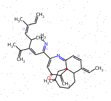 C=C/C(C)=C\C(C)/C(=C\C(=N/C)C1=CC(=O)C(=C)CC(/C=C\C(=C/C)C2CCCC(=C)CC2)=N1)C(=C)C